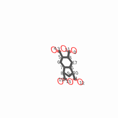 O=C1OC(=O)C2CC3C4CC(C(=O)OC4=O)C3CC12